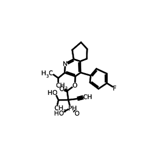 C#CC(C(=O)Oc1c(C(C)C)nc2c(c1-c1ccc(F)cc1)CCCC2)(C(C)O)[PH](=O)O